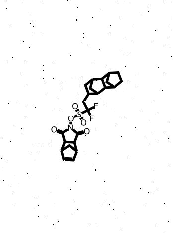 O=C1C2C3C=CC(C3)C2C(=O)N1OS(=O)(=O)C(F)(F)CC1CC2CC1C1C3CCC(C3)C21